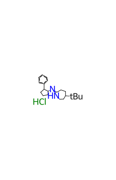 CC(C)(C)C1CCNC(=NC2CCCC2c2ccccc2)CC1.Cl